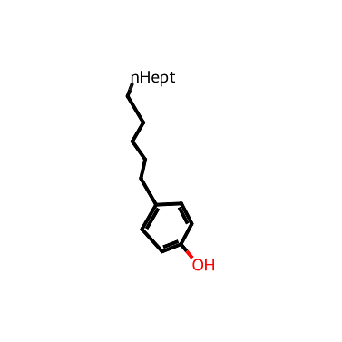 [CH2]CCCCCCCCCCCc1ccc(O)cc1